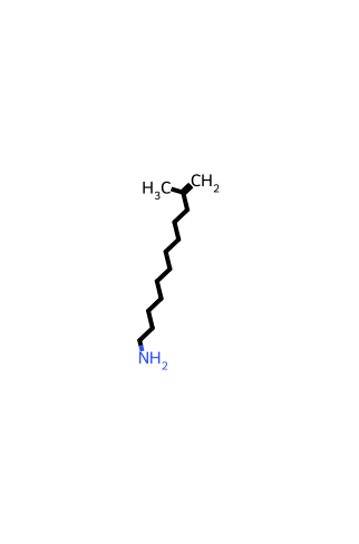 C=C(C)CCCCCCCCCCN